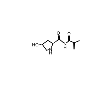 C=C(C)C(=O)NC(=O)[C@@H]1C[C@@H](O)CN1